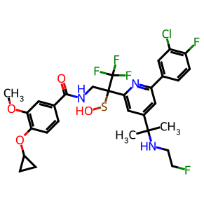 COc1cc(C(=O)NCC(SO)(c2cc(C(C)(C)NCCF)cc(-c3ccc(F)c(Cl)c3)n2)C(F)(F)F)ccc1OC1CC1